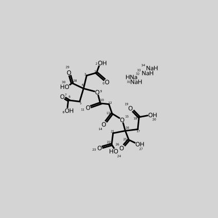 O=C(O)CC(CC(=O)O)(OC(=O)CC(=O)OC(CC(=O)O)(CC(=O)O)C(=O)O)C(=O)O.[NaH].[NaH].[NaH].[NaH]